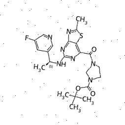 Cc1nc2nc(N[C@@H](C)c3cncc(F)c3)nc(C(=O)N3CCN(C(=O)OC(C)(C)C)C3)c2s1